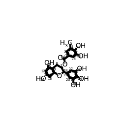 Cc1cc(C(=O)OC2Cc3c(O)cc(O)cc3OC2c2cc(O)c(O)c(O)c2)cc(O)c1O